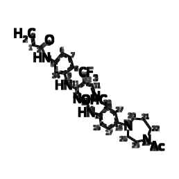 C=CC(=O)Nc1cccc(Nc2nc(Nc3ccc(N4CCCN(C(C)=O)CC4)cc3C=O)ncc2C(F)(F)F)c1